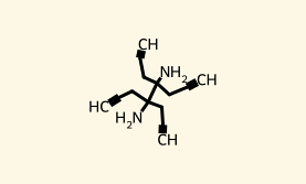 C#CCC(N)(CC#C)C(N)(CC#C)CC#C